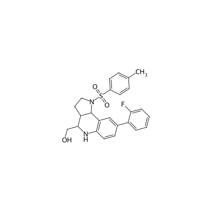 Cc1ccc(S(=O)(=O)N2CCC3C(CO)Nc4ccc(-c5ccccc5F)cc4C32)cc1